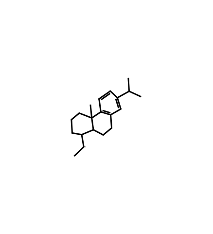 C[CH]C1CCCC2(C)c3ccc(C(C)C)cc3CCC12